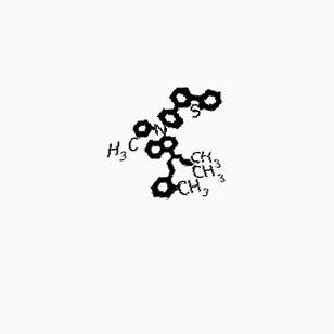 CC(C)=C/C=C(\C=C\c1ccccc1C)c1ccc(N(c2ccc(-c3cccc4c3sc3ccccc34)cc2)c2cccc(C)c2)c2ccccc12